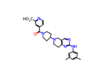 Cc1cc(C)cc(Nc2ncc3c(n2)CCN(C2CCN(C(=O)c4ccnc(C(=O)O)c4)CC2)C3)c1